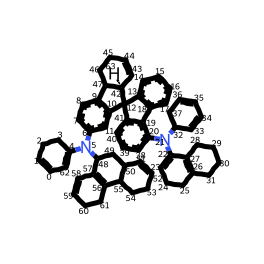 C1=CCCC(N(c2ccc3c(c2)C2(c4ccccc4-c4c(N(C5=CCCC6=C5CCCC6)C5C=CC=CC5)cccc42)[C@@H]2C=CCCC32)C2CC3C=CCCC3C3=C2C=CCC3)=C1